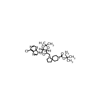 CC(C)(C)OC(=O)N1CCC2(CCCN2CC2O[C@@H](n3cnc4c(Cl)ncnc43)[C@@H]3OC(C)(C)O[C@H]23)CC1